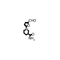 NC(=O)C1CCCN(c2ccc(C=O)o2)C1